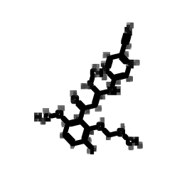 COCOc1c(F)ccc(OC)c1C(=O)C=C(Nc1cnc(C#N)cn1)SC